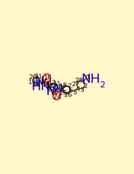 NC1CCC(Cc2ccc(-n3ccc(NC(=O)N4CCCC4)nc3=O)cc2)CC1